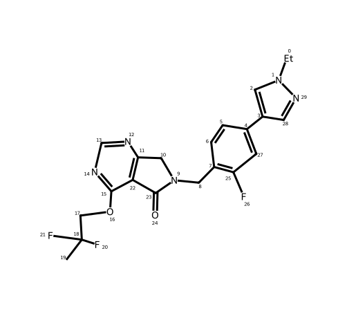 CCn1cc(-c2ccc(CN3Cc4ncnc(OCC(C)(F)F)c4C3=O)c(F)c2)cn1